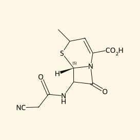 CC1C=C(C(=O)O)N2C(=O)C(NC(=O)CC#N)[C@@H]2S1